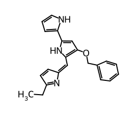 CCC1=NC(=Cc2[nH]c(-c3ccc[nH]3)cc2OCc2ccccc2)C=C1